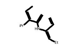 C=C/C(=C\CC)NC(=C)/C(=C\C)C(C)C